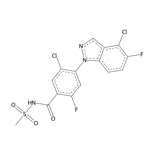 CS(=O)(=O)NC(=O)c1cc(Cl)c(-n2ncc3c(Cl)c(F)ccc32)cc1F